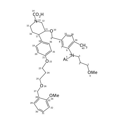 COCCCN(C(C)=O)c1cc(COC2CN(C(=O)O)CCC2c2ccc(OCCCOCc3ccccc3OC)cc2)ccc1C